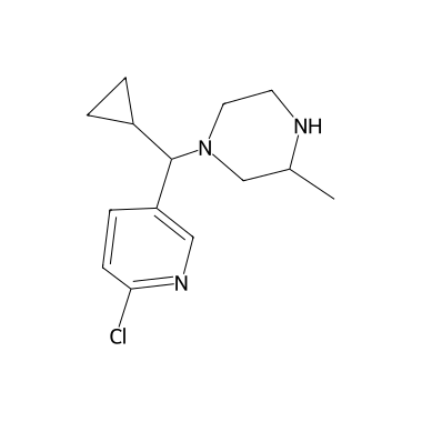 CC1CN(C(c2ccc(Cl)nc2)C2CC2)CCN1